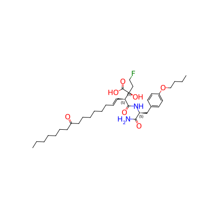 CCCCCCCC(=O)CCCCCCC=C[C@H](C(=O)N[C@@H](Cc1ccc(OCCCC)cc1)C(N)=O)[C@@](O)(CCF)C(=O)O